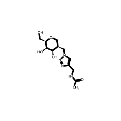 CC(=O)NCc1cn(C[C@@H]2CO[C@H](CO)[C@H](O)[C@@H]2O)nn1